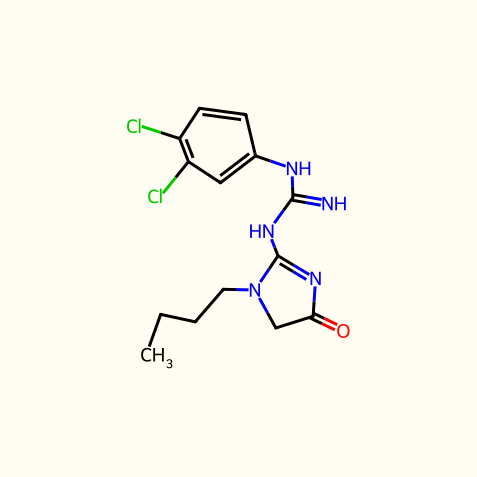 CCCCN1CC(=O)N=C1NC(=N)Nc1ccc(Cl)c(Cl)c1